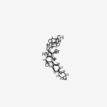 O[C@@H]1CO[C@H]2[C@@H]1OC[C@H]2Oc1[nH]c2cc(Cl)c(-c3ccc(N4CCOCC4)cc3)nc2c1Br